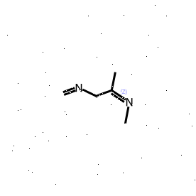 C=NC/C(C)=N\C